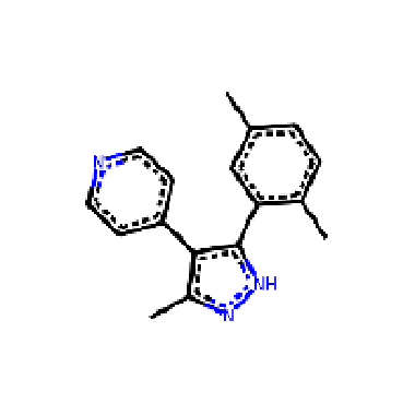 Cc1ccc(C)c(-c2[nH]nc(C)c2-c2ccncc2)c1